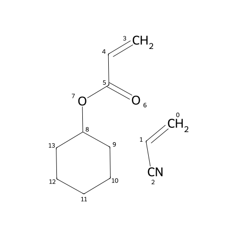 C=CC#N.C=CC(=O)OC1CCCCC1